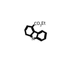 CCOC(=O)C1=C2C(=Nc3ccccc32)CC=C1